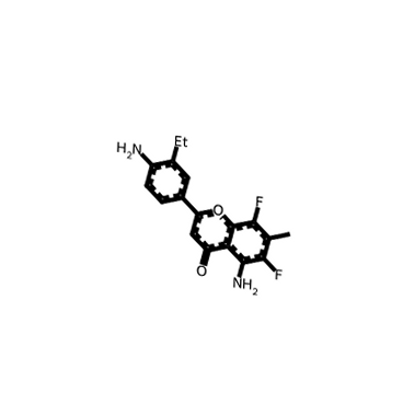 CCc1cc(-c2cc(=O)c3c(N)c(F)c(C)c(F)c3o2)ccc1N